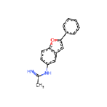 CC(=N)Nc1ccc2oc(-c3ccccc3)cc2c1